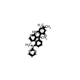 CN(c1cccc([C@@]2(C)C3=C(CC(C)(C)CC3=O)Nc3ncccc32)c1)c1ncccn1